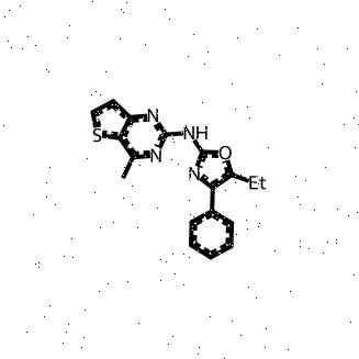 CCc1oc(Nc2nc(C)c3sccc3n2)nc1-c1ccccc1